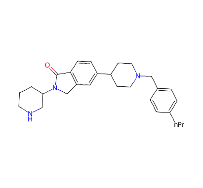 CCCc1ccc(CN2CCC(c3ccc4c(c3)CN(C3CCCNC3)C4=O)CC2)cc1